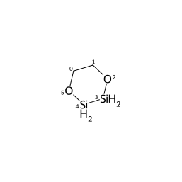 C1CO[SiH2][SiH2]O1